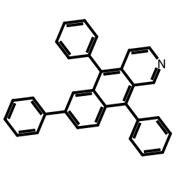 c1ccc(-c2ccc3c(-c4ccccc4)c4cnccc4c(-c4ccccc4)c3c2)cc1